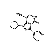 N#Cc1c[nH]c(=O)c2c(/C(C=N)=C/N)cn(C3CCCC3)c12